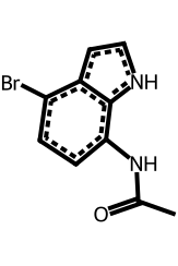 CC(=O)Nc1ccc(Br)c2cc[nH]c12